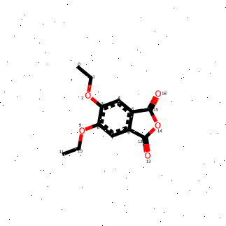 CCOc1cc2c(cc1OCC)C(=O)OC2=O